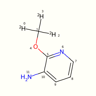 [2H]C([2H])([2H])Oc1ncccc1N